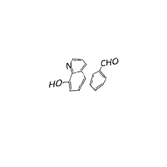 O=Cc1ccccc1.Oc1cccc2cccnc12